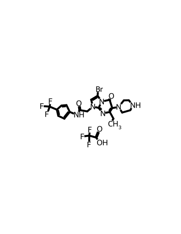 CCc1nc2n(CC(=O)Nc3ccc(C(F)(F)F)cc3)cc(Br)n2c(=O)c1N1CCNCC1.O=C(O)C(F)(F)F